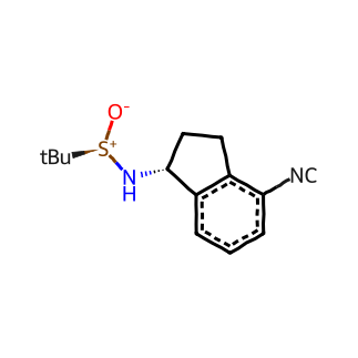 [C-]#[N+]c1cccc2c1CC[C@H]2N[S@+]([O-])C(C)(C)C